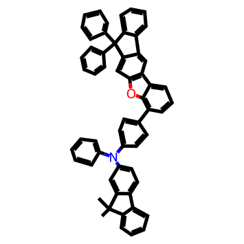 CC1(C)c2ccccc2-c2ccc(N(c3ccccc3)c3ccc(-c4cccc5c4oc4cc6c(cc45)-c4ccccc4C6(c4ccccc4)c4ccccc4)cc3)cc21